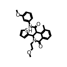 COCCN1C(=O)c2cccc(C)c2C(C(=O)Nc2cccc(OC)c2)C1c1cccs1